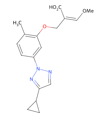 CO/C=C(/COc1cc(-n2ncc(C3CC3)n2)ccc1C)C(=O)O